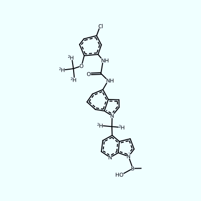 [2H]C([2H])([2H])Oc1ccc(Cl)cc1NC(=O)Nc1cccc2c1ccn2C([2H])([2H])c1ccnc2c1ccn2B(C)O